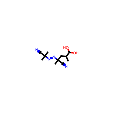 CC(CC(C)(C#N)N=NC(C)(C)C#N)C(O)O